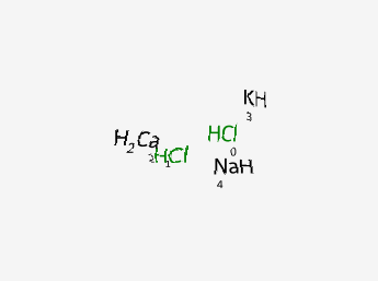 Cl.Cl.[CaH2].[KH].[NaH]